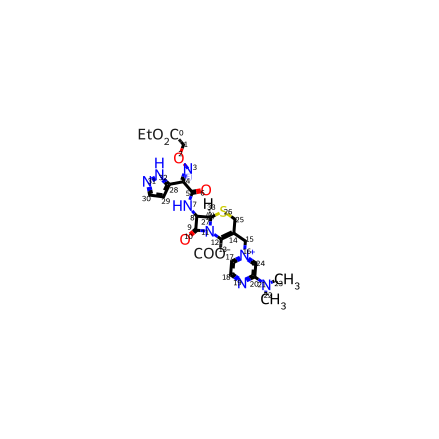 CCOC(=O)CO/N=C(/C(=O)NC1C(=O)N2C(C(=O)[O-])=C(C[n+]3ccnc(N(C)C)c3)CS[C@H]12)c1ccn[nH]1